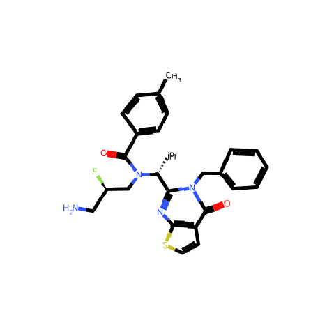 Cc1ccc(C(=O)N(C[C@H](F)CN)[C@@H](c2nc3sccc3c(=O)n2Cc2ccccc2)C(C)C)cc1